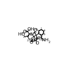 CC(=O)N[C@@]1(c2ccccc2CN)C(=O)N2C(C(=O)O)=C(CO)CS(=O)(=O)[C@H]21